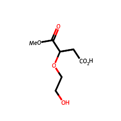 COC(=O)C(CC(=O)O)OCCO